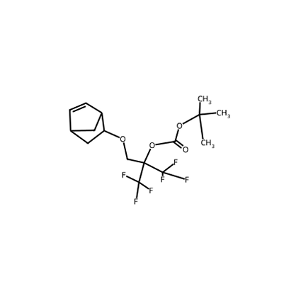 CC(C)(C)OC(=O)OC(COC1CC2C=CC1C2)(C(F)(F)F)C(F)(F)F